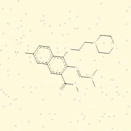 COc1ccc2c(OCCN3CCOCC3)c(N=CN(C)C)c(C(=O)OC(C)(C)C)cc2c1